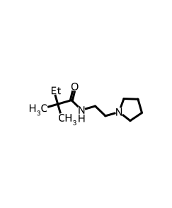 CCC(C)(C)C(=O)NCCN1CCCC1